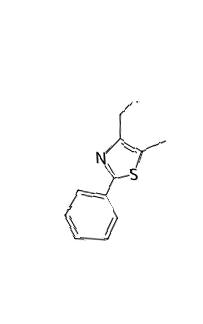 [CH2]Cc1nc(-c2ccccc2)sc1C